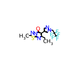 CCc1nc2sc(C)nn2c(=O)c1-c1cnn(CC(F)(F)C(F)(F)F)c1